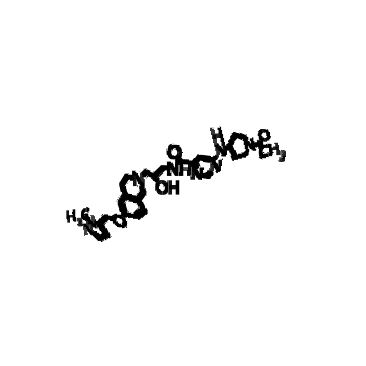 CC(=O)N1CCC(Nc2cc(C(=O)NCC(O)CN3CCc4cc(OCc5ccnn5C)ccc4C3)ncn2)CC1